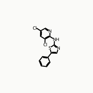 Clc1cnc(Nc2ncc(-c3ccccc3)s2)c(Cl)c1